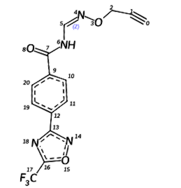 C#CCO/N=C\NC(=O)c1ccc(-c2noc(C(F)(F)F)n2)cc1